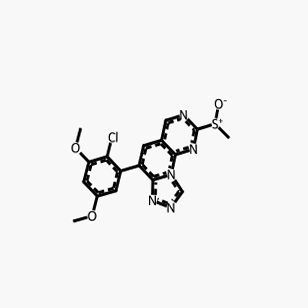 COc1cc(OC)c(Cl)c(-c2cc3cnc([S+](C)[O-])nc3n3cnnc23)c1